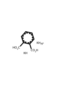 O=C(O)c1ccccc1C(=O)O.[H+].[KH].[KH]